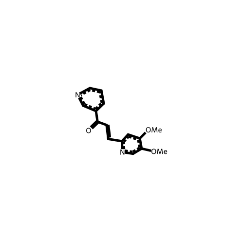 COc1cnc(C=CC(=O)c2cccnc2)cc1OC